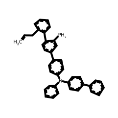 C=CCc1ccccc1-c1ccc(-c2ccc(N(c3ccccc3)c3ccc(-c4ccccc4)cc3)cc2)cc1P